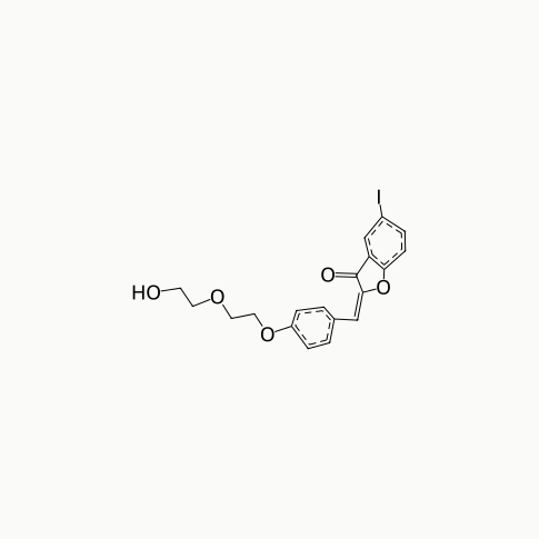 O=C1C(=Cc2ccc(OCCOCCO)cc2)Oc2ccc(I)cc21